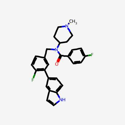 CN1CCC(N(Cc2ccc(F)c(-c3ccc4[nH]ccc4c3)c2)C(=O)c2ccc(F)cc2)CC1